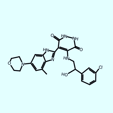 Cc1cc(N2CCOCC2)cc2[nH]c(-c3c(NCC(O)c4cccc(Cl)c4)c(=O)[nH][nH]c3=O)nc12